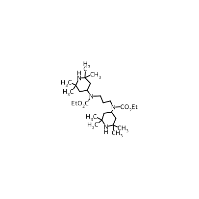 CCOC(=O)N(CCCN(C(=O)OCC)C1CC(C)(C)NC(C)(C)C1)C1CC(C)(C)NC(C)(C)C1